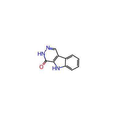 O=c1[nH]ncc2c1[nH]c1ccccc12